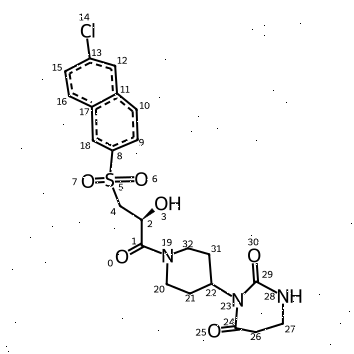 O=C([C@H](O)CS(=O)(=O)c1ccc2cc(Cl)ccc2c1)N1CCC(N2C(=O)CCNC2=O)CC1